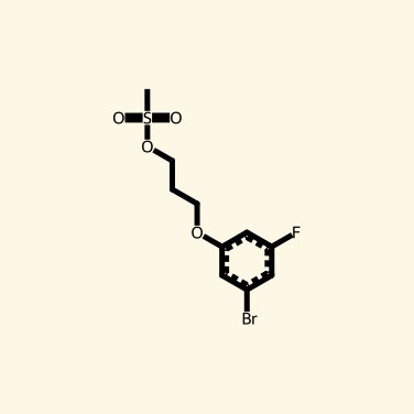 CS(=O)(=O)OCCCOc1cc(F)cc(Br)c1